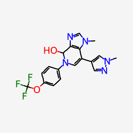 Cn1cc(C2=CN(c3ccc(OC(F)(F)F)cc3)C(O)c3ncn(C)c32)cn1